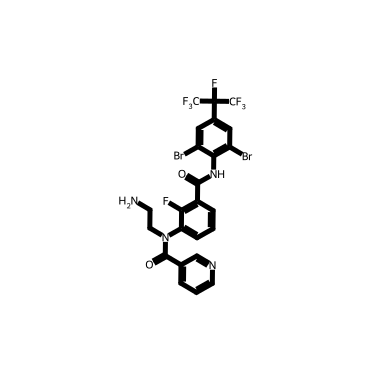 NCCN(C(=O)c1cccnc1)c1cccc(C(=O)Nc2c(Br)cc(C(F)(C(F)(F)F)C(F)(F)F)cc2Br)c1F